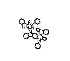 CN1C(c2ccccc2)N=C(n2c3ccccc3c3cc4c(cc32)C2(c3ccccc3-c3ccccc32)c2ccccc2N4c2ccccc2)NC1c1ccccc1